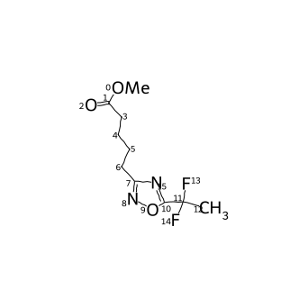 COC(=O)CCCCc1noc(C(C)(F)F)n1